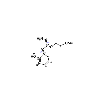 COCCOC(=C/N)/C=C1\CC=CN=C1O